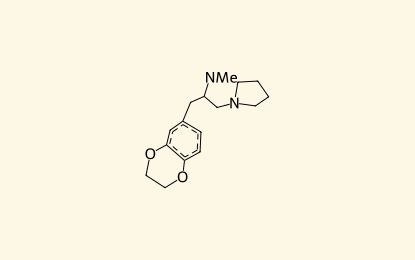 CNC(Cc1ccc2c(c1)OCCO2)CN1CCCC1